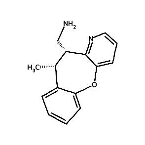 C[C@H]1c2ccccc2Oc2cccnc2[C@H]1CN